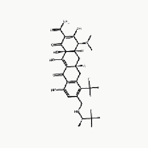 C[C@@H](NCc1cc(O)c2c(c1C(F)(F)F)C[C@H]1C[C@H]3[C@H](N(C)C)C(O)=C(C(N)=O)C(=O)[C@@]3(O)C(O)=C1C2=O)C(C)(C)C